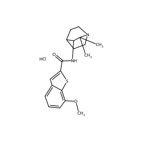 COc1cccc2cc(C(=O)NC3C4CCN(CC4)C3(C)C)sc12.Cl